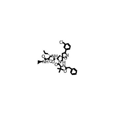 CCC[C@H](NC(=O)[C@@H]1C[C@]2(CC(c3cccc(Cl)c3)=NO2)CN1C(=O)[C@@H](NC(=O)Cc1ccccc1)C(C)(C)C)C(=O)C(=O)NC1CC1